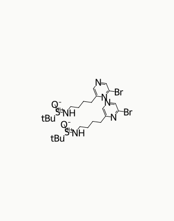 CC(C)(C)[S@@+]([O-])NCCCCc1cncc(Br)n1.CC(C)(C)[S@@+]([O-])NCCCCc1cncc(Br)n1